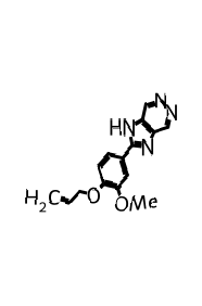 C=CCOc1ccc(-c2nc3cnncc3[nH]2)cc1OC